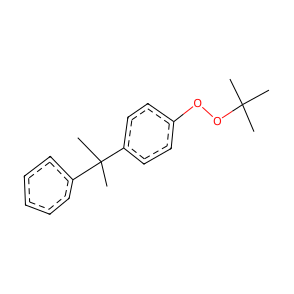 CC(C)(C)OOc1ccc(C(C)(C)c2ccccc2)cc1